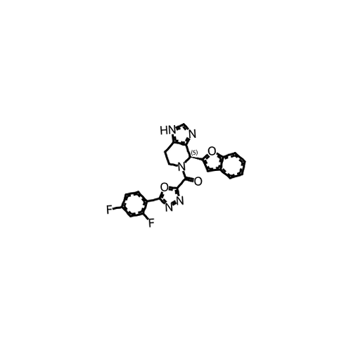 O=C(c1nnc(-c2ccc(F)cc2F)o1)N1CCc2[nH]cnc2[C@H]1c1cc2ccccc2o1